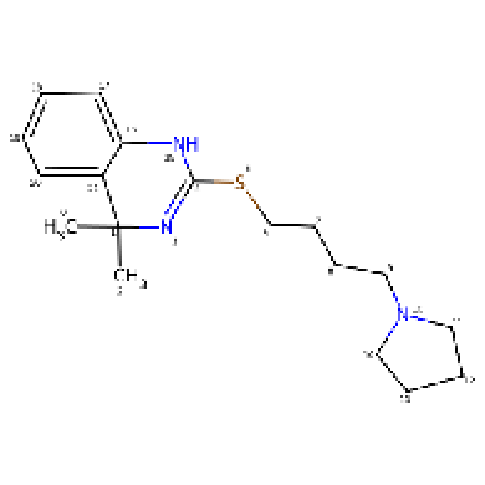 CC1(C)N=C(SCCCCN2CCCC2)Nc2ccccc21